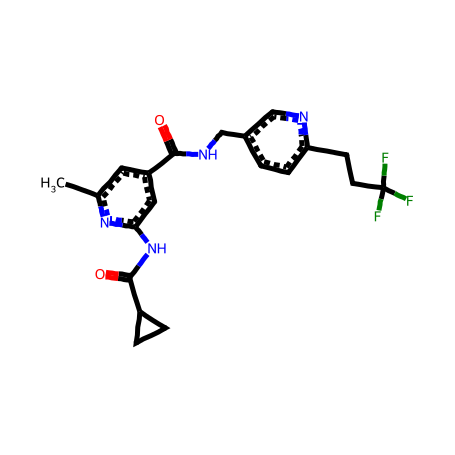 Cc1cc(C(=O)NCc2ccc(CCC(F)(F)F)nc2)cc(NC(=O)C2CC2)n1